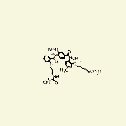 COc1cc(C(=O)N(C)c2ccc(C)cc2OCCCCCC(=O)O)ccc1NC(=O)c1ccccc1OCCCNC(=O)OC(C)(C)C